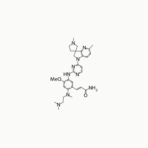 COc1cc(N(C)CCN(C)C)c(C=CC(N)=O)cc1Nc1nccc(N2CC3(CCN(C)C3)c3nc(C)ccc32)n1